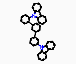 c1cc(-c2cccc(-n3c4ccccc4c4ccccc43)c2)cc(-c2ccccc2-n2c3ccccc3c3ccccc32)c1